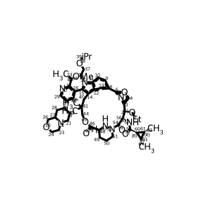 CCO[C@@H]1c2coc(n2)-c2ccc3c(c2)c(c(-c2cc([C@@H]4CCN5CCOCC5C4)cnc2[C@H](C)OC)n3CCOC(C)C)CC(C)(C)COC(=O)[C@@H]2CCCN(N2)C(=O)[C@H]1NC(=O)[C@H]1[C@H](C)[C@@H]1C